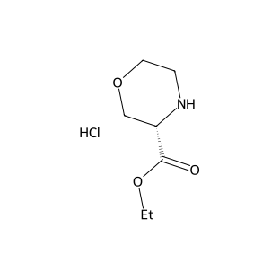 CCOC(=O)[C@@H]1COCCN1.Cl